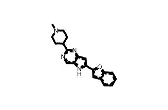 CN1CCC(c2ncc3[nH]c(-c4cc5ccccc5o4)cc3n2)CC1